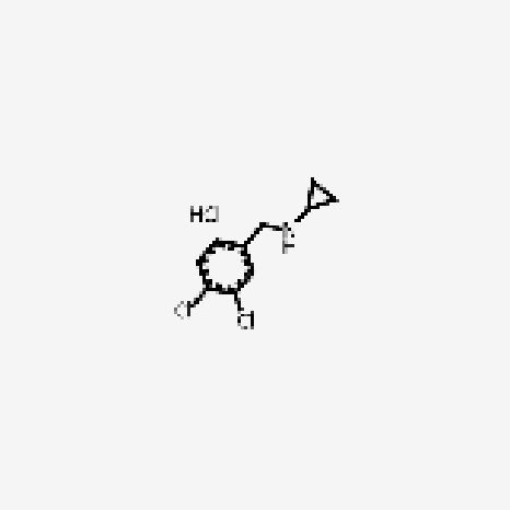 Cl.Clc1ccc(CNC2CC2)cc1Cl